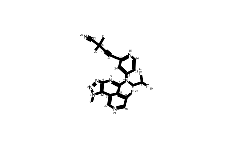 Cn1nnc2nc(N(CC(F)F)c3ccnc(C#CC(C)(C)C#N)c3)c3c(F)cncc3c21